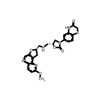 COc1ccc2ncc3c(c2n1)C[C@H](CNC[C@@H]1CN(c2ccc4c(c2)NC(=O)CS4)C(=O)O1)O3